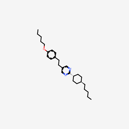 CCCCCOc1ccc(CCc2cnc([C@H]3CC[C@H](CCCCC)CC3)nc2)cc1